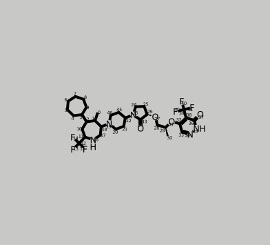 CC1C(C2CCCCCC2)CC(C(F)(F)F)NCC1N1CCC(N2CC[C@H](OC[C@H](C)Oc3cn[nH]c(=O)c3C(F)(F)F)C2=O)CC1